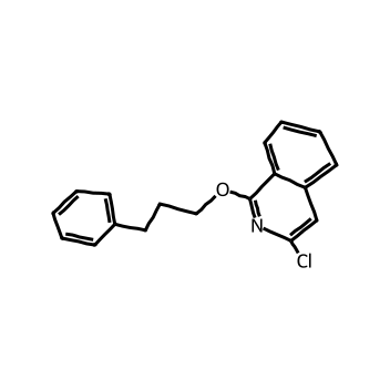 Clc1cc2ccccc2c(OCCCc2ccccc2)n1